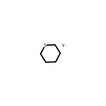 C1CCSCC1.[Y]